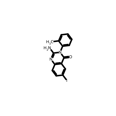 Cc1ccccc1-n1c(N)nc2ccc(I)cc2c1=O